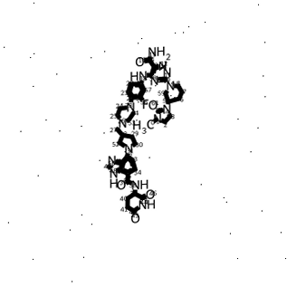 CN1CCN(C2CCCN(c3nnc(C(N)=O)c(Nc4ccc(N5CCN(CC6CCN(c7ccc(C(=O)NC8CCC(=O)NC8=O)c8[nH]cnc78)C6)CC5)c(F)c4)n3)C2)C1=O